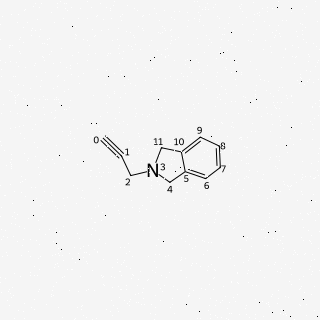 C#CCN1Cc2ccccc2C1